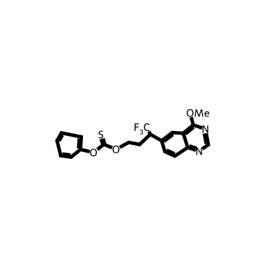 COc1ncnc2ccc(C(CCOC(=S)Oc3ccccc3)C(F)(F)F)cc12